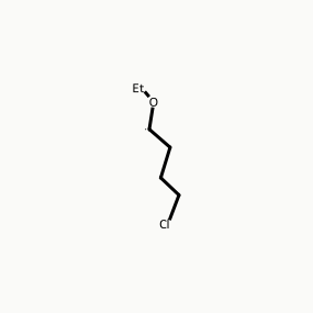 CCO[CH]CCCCl